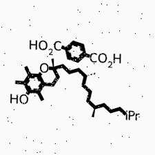 Cc1c(C)c2c(c(C)c1O)CC[C@@](C)(CCC[C@H](C)CCC[C@H](C)CCCC(C)C)O2.O=C(O)c1ccc(C(=O)O)cc1